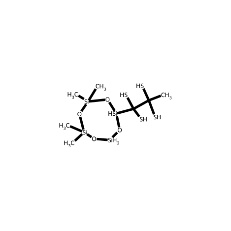 CC(S)(S)C(S)(S)[SiH]1O[SiH2]O[Si](C)(C)O[Si](C)(C)O1